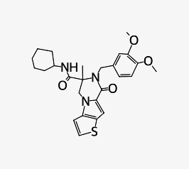 COc1ccc(CN2C(=O)c3cc4sccc4n3CC2(C)C(=O)NC2CCCCC2)cc1OC